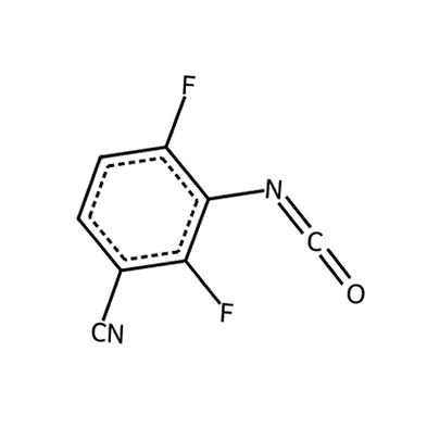 N#Cc1ccc(F)c(N=C=O)c1F